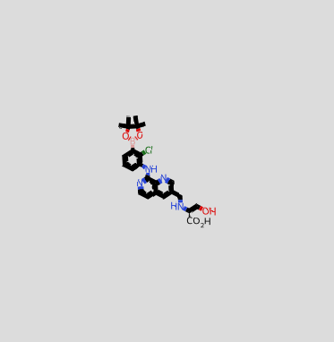 CC1(C)OB(c2cccc(Nc3nccc4cc(CN[C@H](CO)C(=O)O)cnc34)c2Cl)OC1(C)C